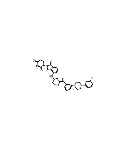 O=C1CCC(N2Cc3c(NC4CCCC(Nc5cccc(N6CCC(c7cccc(Cl)c7)CC6)c5)C4)cccc3C2=O)C(=O)N1